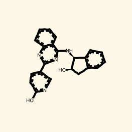 Oc1ccc(-c2nc(N[C@H]3c4ccccc4C[C@H]3O)c3ccccc3n2)cn1